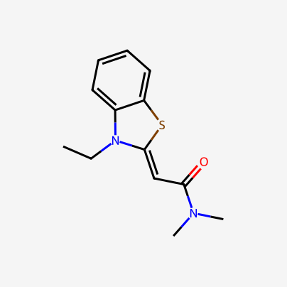 CCN1/C(=C/C(=O)N(C)C)Sc2ccccc21